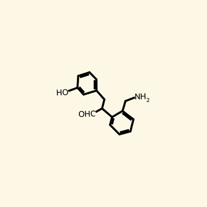 NCc1ccccc1C(C=O)Cc1cccc(O)c1